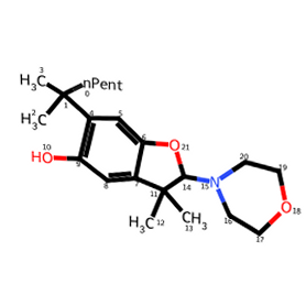 CCCCCC(C)(C)c1cc2c(cc1O)C(C)(C)C(N1CCOCC1)O2